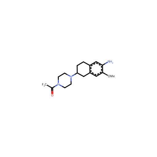 COc1cc2c(cc1N)CCC(N1CCN(C(=O)C(F)(F)F)CC1)C2